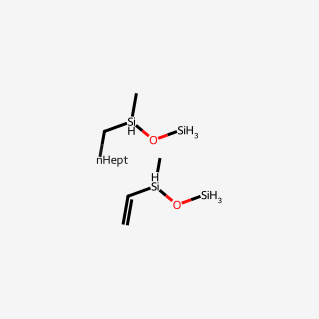 C=C[SiH](C)O[SiH3].CCCCCCCC[SiH](C)O[SiH3]